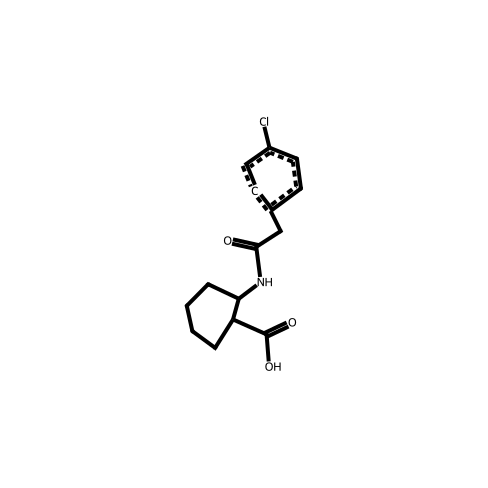 O=C(Cc1ccc(Cl)cc1)NC1CCCCC1C(=O)O